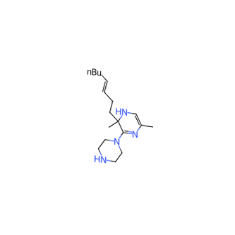 CCCC/C=C/CCC1(C)NC=C(C)N=C1N1CCNCC1